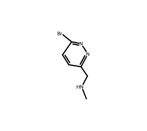 CNCc1ccc(Br)nn1